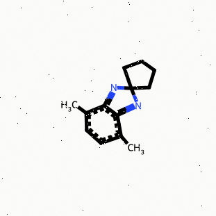 Cc1ccc(C)c2c1=NC1(CCCC1)N=2